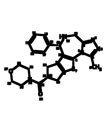 Cc1nnc2n1-c1sc3c(c1[C@H](c1ccccc1)NC2)C[C@H](C(=O)N1CCOCC1)C3